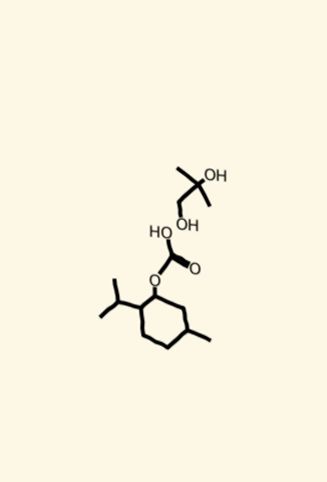 CC(C)(O)CO.CC1CCC(C(C)C)C(OC(=O)O)C1